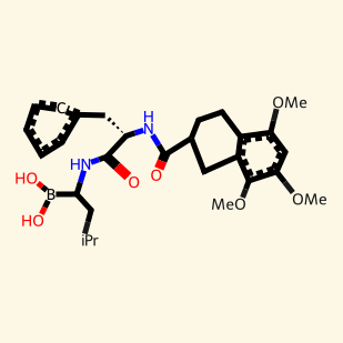 COc1cc(OC)c(OC)c2c1CCC(C(=O)N[C@@H](Cc1ccccc1)C(=O)NC(CC(C)C)B(O)O)C2